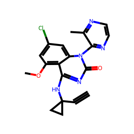 C#CC1(Nc2nc(=O)n(-c3nccnc3C)c3cc(Cl)cc(OC)c23)CC1